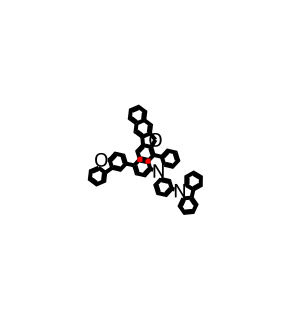 c1cc(N(c2ccc(-c3ccc4oc5ccccc5c4c3)cc2)c2ccccc2-c2cccc3c2oc2cc4ccccc4cc23)cc(-n2c3ccccc3c3ccccc32)c1